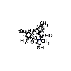 C/C(=C(\CCO)SC(=O)c1c(C)cc(C(C)(C)C)cc1C)N(C=O)Cc1cnc(C)nc1N